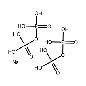 O=P(O)(O)OP(=O)(O)O.O=P(O)(O)OP(=O)(O)O.[Na]